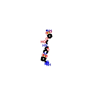 CNS(=O)(=O)c1cccc(OCC(O)CNC2COC3(CCN(S(=O)(=O)c4cccc(-c5nn[nH]n5)c4)CC3)C2)c1